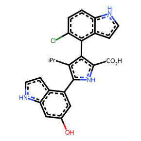 CC(C)c1c(-c2cc(O)cc3[nH]ccc23)[nH]c(C(=O)O)c1-c1c(Cl)ccc2[nH]ccc12